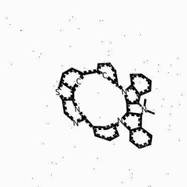 Cc1c2ccccc2n2c3cccc(c3)c3ccc4sc5cnc(nc5c4c3)c3cccc(c3)n3c4ccccc4c(N(C)C)c3c12